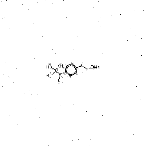 COCOc1ccc(C(=O)C(C)(C)O)cc1